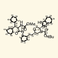 COC(=O)NC(C(=O)Nc1ccccc1CC[C@@H]1CN(C(=O)OC(C)(C)C)[C@H](c2nc3ccccc3[nH]2)CO1)C(c1ccccc1)c1ccccc1